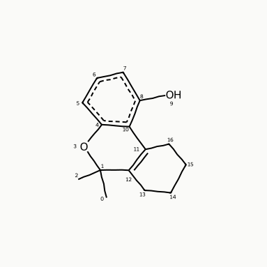 CC1(C)Oc2cccc(O)c2C2=C1CCCC2